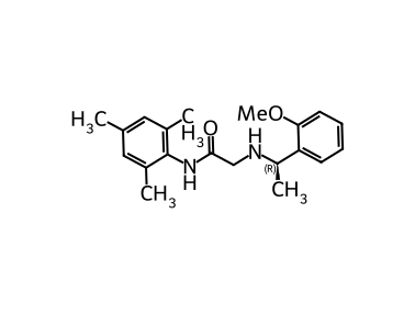 COc1ccccc1[C@@H](C)NCC(=O)Nc1c(C)cc(C)cc1C